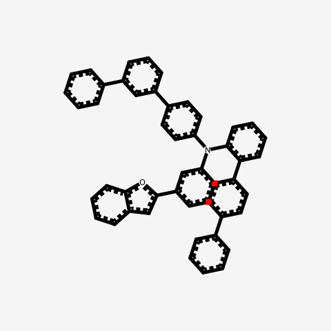 c1ccc(-c2ccc(-c3ccccc3N(c3ccc(-c4cccc(-c5ccccc5)c4)cc3)c3cccc(-c4cc5ccccc5o4)c3)cc2)cc1